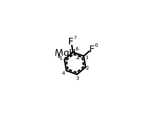 Fc1ccccc1F.[MgH2]